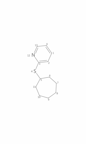 c1ccc(SC2CCCCCC2)nc1